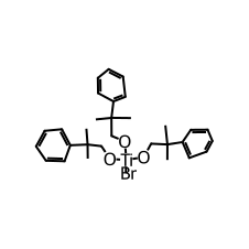 CC(C)(C[O][Ti]([Br])([O]CC(C)(C)c1ccccc1)[O]CC(C)(C)c1ccccc1)c1ccccc1